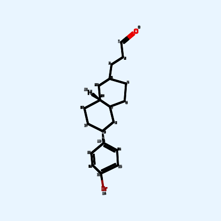 O=CCCC1CCC2C[C@H](c3ccc(Br)cc3)CC[C@@H]2C1